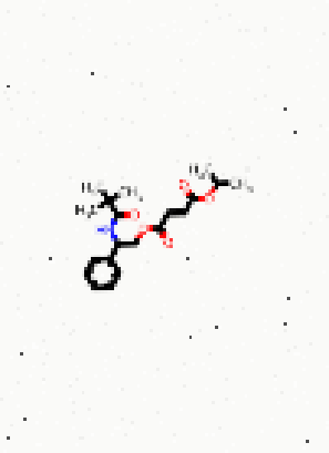 CC(C)OC(=O)/C=C/C(=O)OCC(NC(=O)C(C)(C)C)c1ccccc1